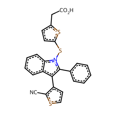 N#Cc1sccc1-c1c(-c2ccccc2)n(Sc2ccc(CC(=O)O)s2)c2ccccc12